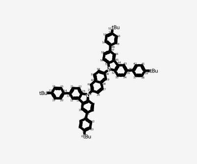 CC(C)(C)c1ccc(-c2ccc3c(c2)c2cc(-c4ccc(C(C)(C)C)cc4)ccc2n3-c2ccc3cc(-n4c5ccc(-c6ccc(C(C)(C)C)cc6)cc5c5cc(-c6ccc(C(C)(C)C)cc6)ccc54)ccc3c2)cc1